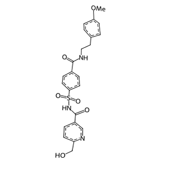 COc1ccc(CCNC(=O)c2ccc(S(=O)(=O)NC(=O)c3ccc(CO)nc3)cc2)cc1